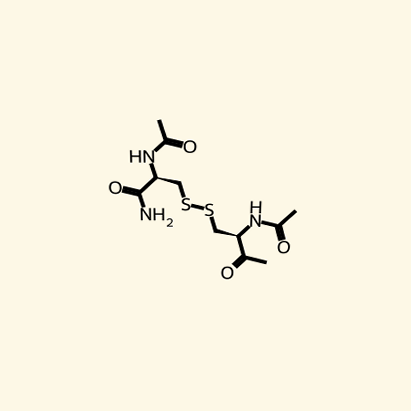 CC(=O)N[C@@H](CSSC[C@@H](NC(C)=O)C(C)=O)C(N)=O